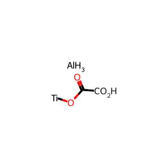 O=C(O)C(=O)[O][Ti].[AlH3]